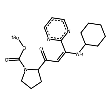 CC(C)(C)OC(=O)N1CCCC1C(=O)C=C(NC1CCCCC1)c1ncccn1